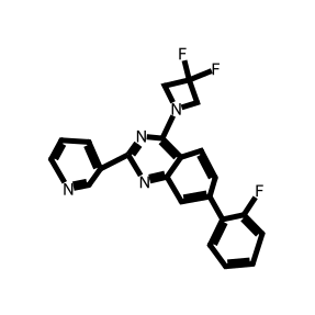 Fc1ccccc1-c1ccc2c(N3CC(F)(F)C3)nc(-c3cccnc3)nc2c1